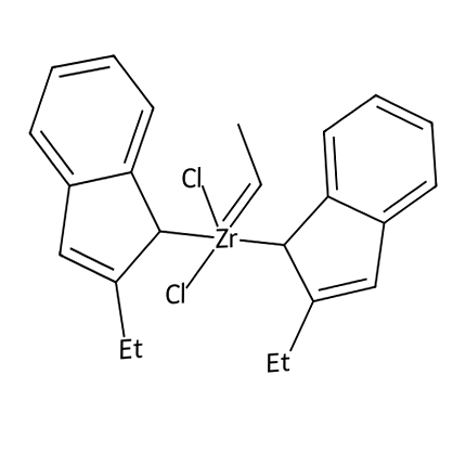 C[CH]=[Zr]([Cl])([Cl])([CH]1C(CC)=Cc2ccccc21)[CH]1C(CC)=Cc2ccccc21